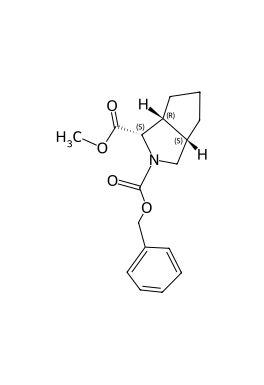 COC(=O)[C@@H]1[C@@H]2CCC[C@@H]2CN1C(=O)OCc1ccccc1